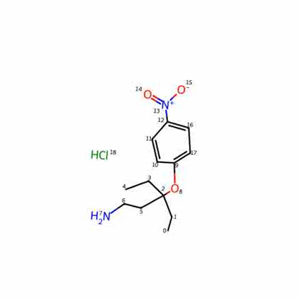 CCC(CC)(CCN)Oc1ccc([N+](=O)[O-])cc1.Cl